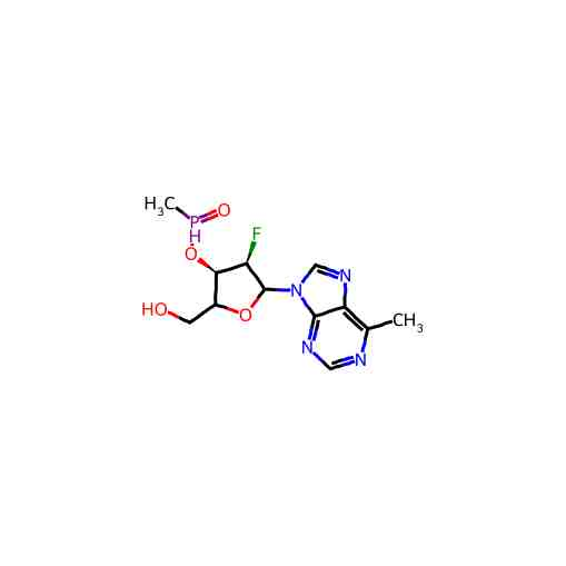 Cc1ncnc2c1ncn2C1OC(CO)[C@@H](O[PH](C)=O)[C@H]1F